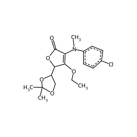 CCOC1=C(N(C)c2ccc(Cl)cc2)C(=O)OC1C1COC(C)(C)O1